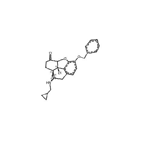 CC[C@]12c3c4ccc(OCc5ccccc5)c3OC1C(=O)CC[C@@]2(O)[C@H](NCC1CC1)C4